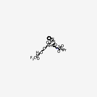 CC(C)N1C(=O)S/C(=C\c2ccc(Sc3nc4ccccc4n3CC(=O)NCCOCCOCCNC(=O)C(F)(F)F)o2)C1=O